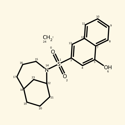 O=S(=O)(c1cc(O)c2ccccc2c1)N1CCCC2CCCC1C2.[CH2]